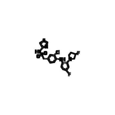 O=S(=O)(Cc1ccc(Nc2ccc(F)cc2N2CC[C@@H](F)C2)c(Cl)c1)Nc1cscn1